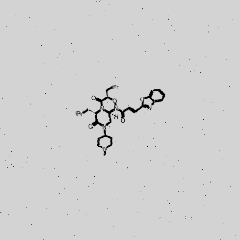 CC(C)C[C@H]1ON(C(=O)/C=C/c2nc3ccccc3o2)[C@H]2CN(C3CCN(C)CC3)C(=O)[C@H](CC(C)C)N2C1=O